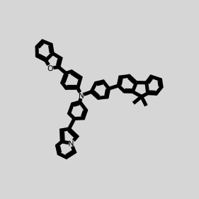 CC1(C)c2ccccc2-c2ccc(-c3ccc(N(C4=CCC(c5cc6ccccn6c5)C=C4)c4ccc(-c5cc6ccccc6o5)cc4)cc3)cc21